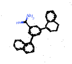 N=C(N)c1cc(C2=CCCc3ccccc32)cc(-c2cccc3ccccc23)c1